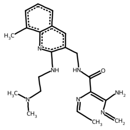 C=N/C(N)=C(\N=C/C)C(=O)NCc1cc2cccc(C)c2nc1NCCN(C)C